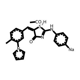 CC(=O)O.Cc1ccc(/C=C2/SC(Nc3cc[c]([Na])cc3)=NC2=O)cc1-n1cccc1